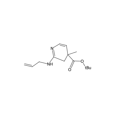 C=CCNC1=NC=CC(C)(C(=O)OC(C)(C)C)C1